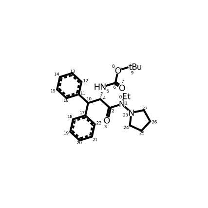 CCN(C(=O)[C@@H](NC(=O)OC(C)(C)C)C(c1ccccc1)c1ccccc1)N1CCCC1